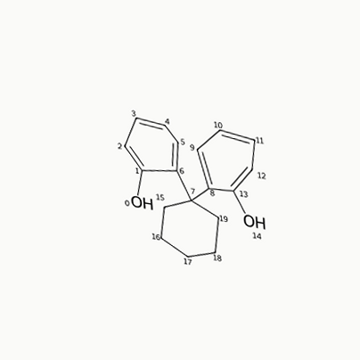 Oc1ccccc1C1(c2ccccc2O)CCCCC1